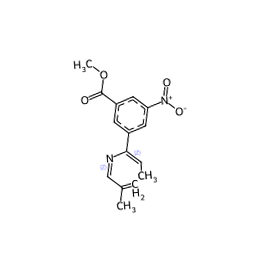 C=C(C)/C=N\C(=C/C)c1cc(C(=O)OC)cc([N+](=O)[O-])c1